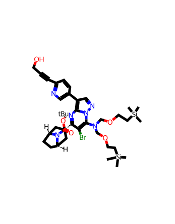 CC(C)(C)OC(=O)N1[C@@H]2CC[C@H]1C[C@H](c1nc3c(-c4ccc(C#CCO)nc4)cnn3c(N(COCC[Si](C)(C)C)COCC[Si](C)(C)C)c1Br)C2